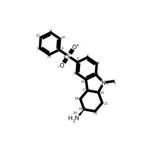 CN1c2ccc(S(=O)(=O)c3ccccc3)cc2C2C[C@H](N)CCC21